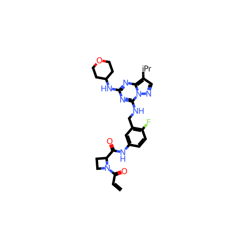 C=CC(=O)N1CCC1C(=O)Nc1ccc(F)c(CNc2nc(NC3CCOCC3)nc3c(C(C)C)cnn23)c1